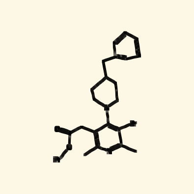 Cc1nc(C)c(CC(=O)OC(C)C)c(N2CCC(Cc3ccccc3)CC2)c1Br